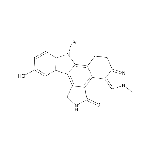 CC(C)n1c2ccc(O)cc2c2c3c(c4c(c21)CCc1nn(C)cc1-4)C(=O)NC3